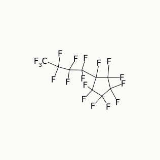 FC(F)(F)C(F)(F)C(F)(F)C(F)(F)C1(F)C(F)(F)C(F)(F)C(F)(F)C1(F)F